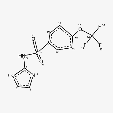 O=S(=O)(Nc1nccs1)c1ccc(OC(F)(F)F)cc1